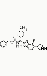 CC1CCC([C@H](NC(=O)OCc2ccccc2)c2nc3c(F)c(C4CCNC4)ccc3[nH]2)CC1